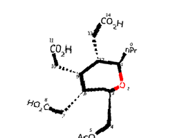 CCC[C@H]1O[C@@H](COC(C)=O)[C@H](CC(=O)O)[C@H](CC(=O)O)[C@@H]1CC(=O)O